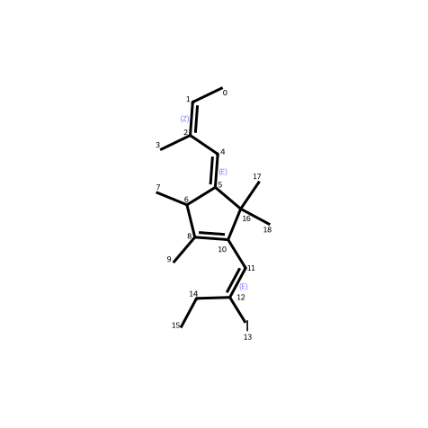 C/C=C(C)\C=C1/C(C)C(C)=C(/C=C(/I)CC)C1(C)C